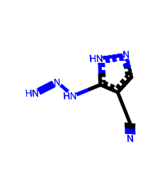 N#Cc1cn[nH]c1NN=N